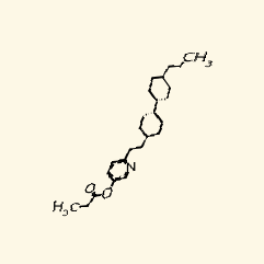 CCC[C@H]1CC[C@H]([C@H]2CC[C@H](CCc3ccc(OC(=O)CC)cn3)CC2)CC1